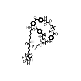 CC(C)(CNC(=O)C(=O)Nc1ccc(C(=O)c2ccc(NC(=O)CCCCCNC(=O)CCCC[C@H]3SC[C@@H]4NC(=O)N[C@@H]43)cc2)cc1)CNC(=O)c1ccc(Nc2nc(NC3(c4ccc(Cl)cc4)CC3)nc(OCC(F)(F)F)n2)cc1